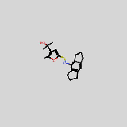 Cc1oc(SNc2c3c(cc4c2CCC4)CCC3)cc1C(C)(C)O